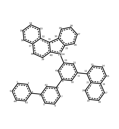 c1ccc(-c2cccc(-c3cc(-c4cccc5ccccc45)cc(-n4c5ccccc5c5c6ccccc6ccc54)c3)c2)cc1